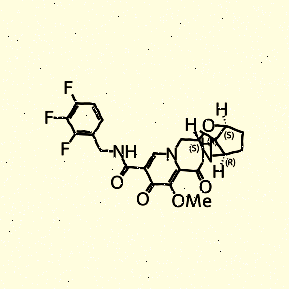 COc1c2n(cc(C(=O)NCc3ccc(F)c(F)c3F)c1=O)C[C@@H]1O[C@H]3CC[C@H]([C@H]3C)N1C2=O